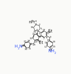 CCCC1CCC(c2ccc(Cc3ccc(N)cc3)c(CC)c2)(c2ccc(Cc3ccc(N)cc3)c(CC)c2)CC1